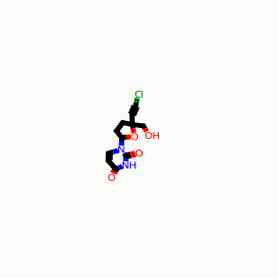 O=c1ccn(C2CCC(C#CCl)(CO)O2)c(=O)[nH]1